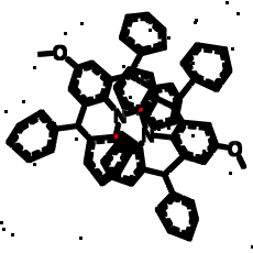 COc1cc(C(c2ccccc2)c2ccccc2)c(N2[C]N(c3c(C(c4ccccc4)c4ccccc4)cc(OC)cc3C(c3ccccc3)c3ccccc3)C=C2)c(C(c2ccccc2)c2ccccc2)c1